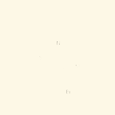 Cc1csc(C(=O)CBr)n1